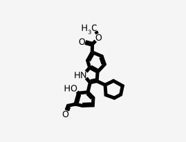 COC(=O)c1ccc2c(C3CCCCC3)c(-c3cccc(C=O)c3O)[nH]c2c1